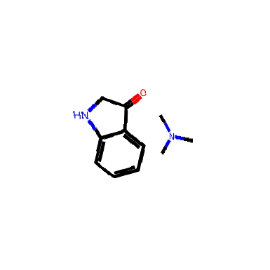 CN(C)C.O=C1CNc2ccccc21